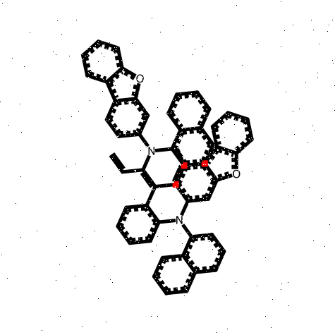 C=C/C(=C(/C=C\C)c1ccccc1N(c1ccc2c(c1)oc1ccccc12)c1cccc2ccccc12)N(c1ccc2c(c1)oc1ccccc12)c1cccc2ccccc12